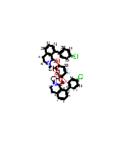 CN1CCc2cccc(-c3ccc(Cl)cc3)c2C1OC(=O)/C=C\C(=O)OC1c2c(cccc2-c2ccc(Cl)cc2)CCN1C